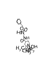 CC(C)(C)C1CC(C(=O)NCCNC(=O)OCc2ccccc2)CCN1C(=O)O